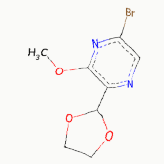 COc1nc(Br)cnc1C1OCCO1